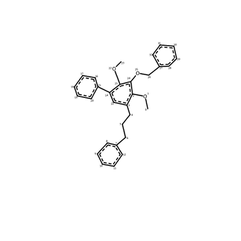 COc1c(CCCc2ccccc2)[c]c(-c2ccccc2)c(OC)c1OCc1ccccc1